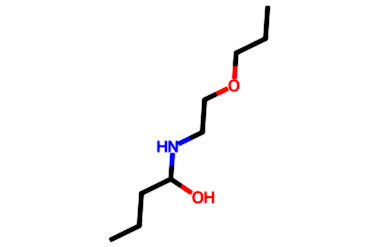 CCCOCCNC(O)CCC